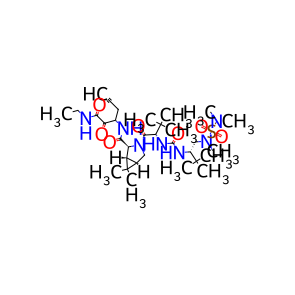 C#CCC(NC(=O)[C@@H]1[C@@H]2[C@H](CN1C(=O)[C@@H](NC(=O)N[C@H](CN(C)S(=O)(=O)N(C)C)C(C)(C)C)C(C)(C)C)C2(C)C)C(=O)C(=O)NCC